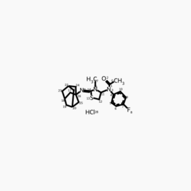 CC(=O)N(c1ccc(F)cc1)C1CSC(=NC23CC4CC(CC(C4)C2)C3)N1C.Cl